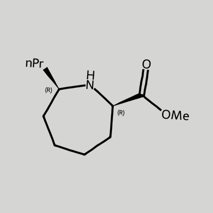 CCC[C@@H]1CCCC[C@H](C(=O)OC)N1